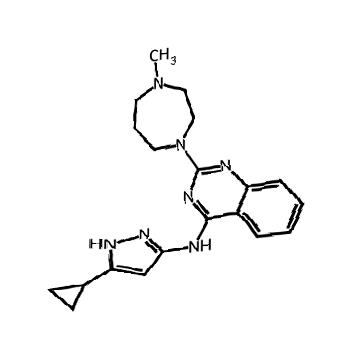 CN1CCCN(c2nc(Nc3cc(C4CC4)[nH]n3)c3ccccc3n2)CC1